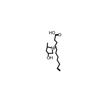 C=CCCCCCCCCC(=O)O.CC1CC(O)CN1